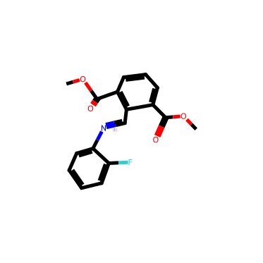 COC(=O)c1cccc(C(=O)OC)c1/C=N/c1ccccc1F